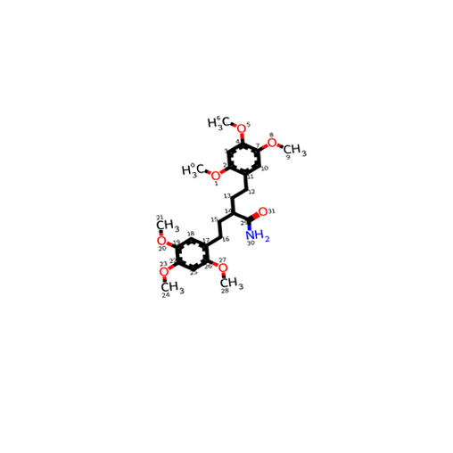 COc1cc(OC)c(OC)cc1CCC(CCc1cc(OC)c(OC)cc1OC)C(N)=O